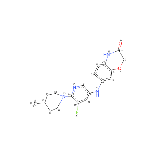 O=C1COc2cc(Nc3cnc(N4CCC(C(F)(F)F)CC4)c(F)c3)ccc2N1